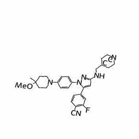 COC1(C)CCN(c2ccc(-n3nc(NCC45CCN(CC4)CC5)cc3-c3ccc(C#N)c(F)c3)cc2)CC1